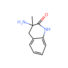 CC1(N)Cc2ccccc2NC1=O